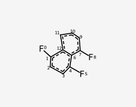 Fc1ccc(F)c2c(F)cccc12